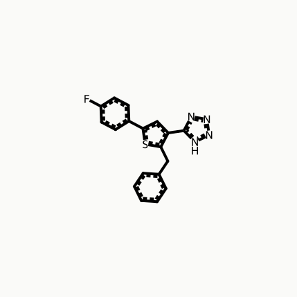 Fc1ccc(-c2cc(-c3nnn[nH]3)c(Cc3ccccc3)s2)cc1